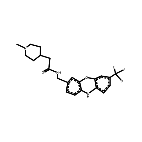 CN1CCC(CC(=O)NCc2ccc3c(c2)Oc2cc(C(F)(F)F)ccc2N3)CC1